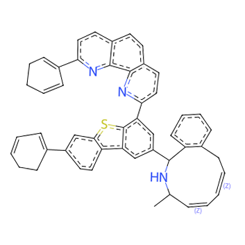 CC1/C=C\C=C/Cc2ccccc2C(c2cc(-c3ccc4ccc5ccc(C6=CCCC=C6)nc5c4n3)c3sc4cc(C5=CC=CCC5)ccc4c3c2)N1